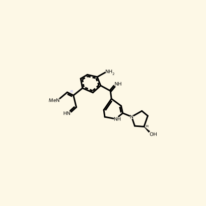 CN/C=C(\C=N)c1ccc(N)c(C(=N)C2=CCNC(N3CC[C@@H](O)C3)=C2)c1